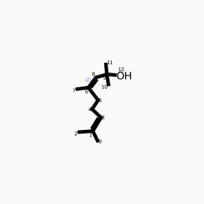 CC(C)=CCC/C(C)=C\C(C)(C)O